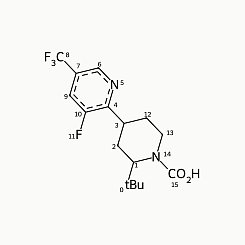 CC(C)(C)C1CC(c2ncc(C(F)(F)F)cc2F)CCN1C(=O)O